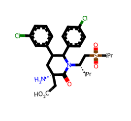 CC(C)[C@@H](CS(=O)(=O)C(C)C)N1C(=O)[C@@](N)(CC(=O)O)CC(c2cccc(Cl)c2)C1c1ccc(Cl)cc1